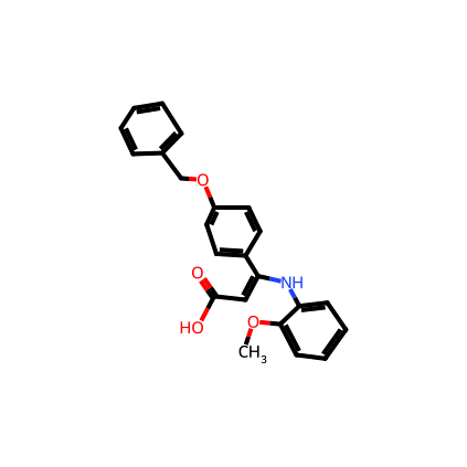 COc1ccccc1NC(=CC(=O)O)c1ccc(OCc2ccccc2)cc1